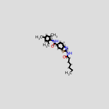 CCCCCCC(=O)Nc1nc2ccc(C(=O)Nc3c(C)cc(C)cc3C)cc2s1